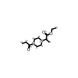 CCOC(=O)C(C)N1CCN(C(=O)CC)CC1